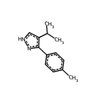 Cc1ccc(-c2n[nH]cc2C(C)C)cc1